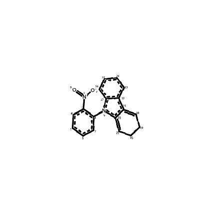 O=[N+]([O-])c1ccccc1-n1c2c(c3ccccc31)=CCCC=2